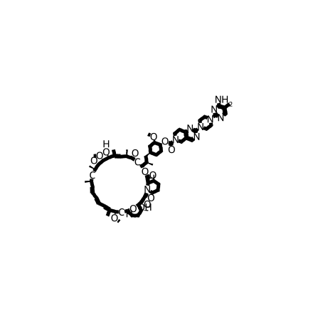 CO[C@H]1C[C@@H]2CC[C@@H](C)[C@@](O)(O2)C(=O)C(=O)N2CCCC[C@H]2C(=O)O[C@H]([C@H](C)C[C@@H]2CC[C@@H](OC(=O)N3CCc4nc(N5CCN(c6ncc(C)c(N)n6)CC5)ncc4C3)[C@H](OC)C2)CC(=O)[C@H](C)/C=C(\C)[C@@H](O)[C@@H](OC)C(=O)[C@H](C)C[C@H](C)/C=C/C=C/C=C/1C